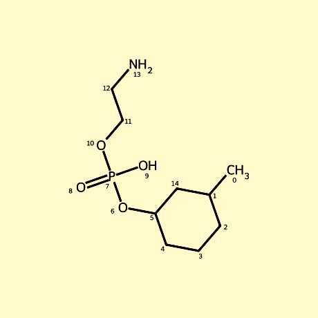 CC1CCCC(OP(=O)(O)OCCN)C1